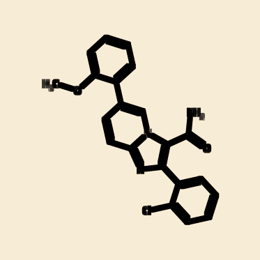 COc1ccccc1-c1ccc2nc(-c3ccccc3Cl)c(C(N)=O)n2c1